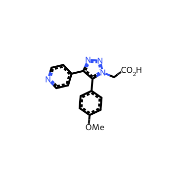 COc1ccc(-c2c(-c3ccncc3)nnn2CC(=O)O)cc1